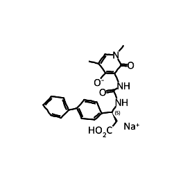 Cc1cn(C)c(=O)c(NC(=O)N[C@@H](CC(=O)O)c2ccc(-c3ccccc3)cc2)c1[O-].[Na+]